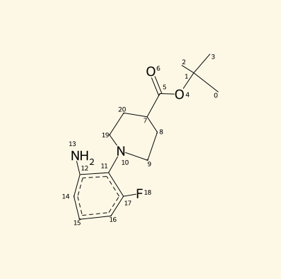 CC(C)(C)OC(=O)C1CCN(c2c(N)cccc2F)CC1